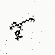 CCC(F)(F)CCCCCc1nc(Nc2ccnc(C3(C#N)CC3)c2)nc(-c2ccnc(C(F)(F)F)n2)n1